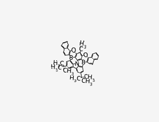 Cc1c2c3c4c5c1Oc1c(ccc6ccccc16)B5c1cc(C(C)(C)C)cc5c6cc(C(C)(C)C)cc(c6n-4c15)B3c1ccc3ccccc3c1O2